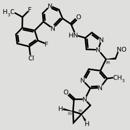 Cc1nc(N2C[C@@H]3C[C@@H]3C2=O)ncc1[C@H](CN=O)n1cc(NC(=O)c2cncc(-c3c(C(C)F)ccc(Cl)c3F)n2)cn1